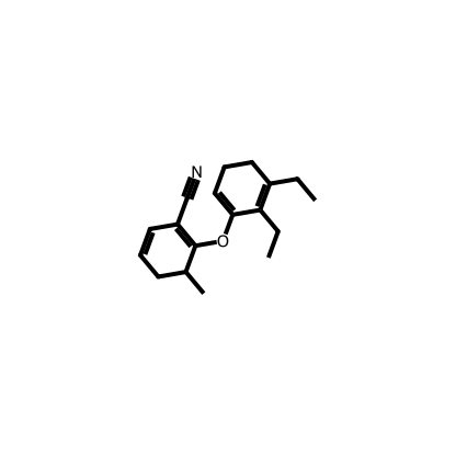 CCC1=C(CC)C(OC2=C(C#N)C=CCC2C)=CCC1